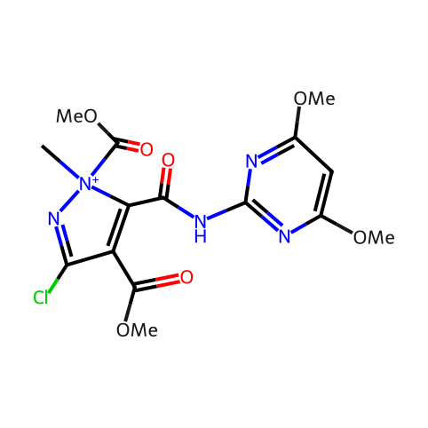 COC(=O)C1=C(C(=O)Nc2nc(OC)cc(OC)n2)[N+](C)(C(=O)OC)N=C1Cl